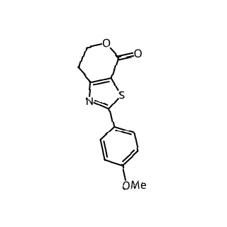 COc1ccc(-c2nc3c(s2)C(=O)OCC3)cc1